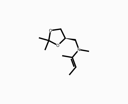 C/C=C(\C)N(C)C[C@@H]1COC(C)(C)O1